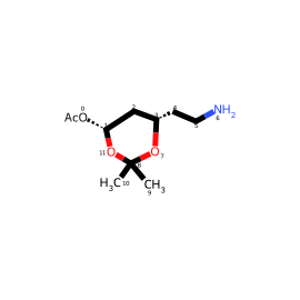 CC(=O)O[C@@H]1C[C@H](CCN)OC(C)(C)O1